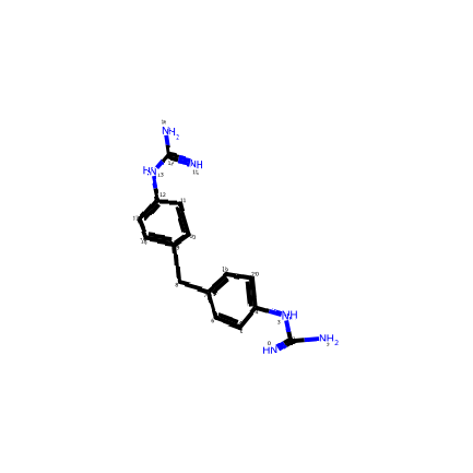 N=C(N)Nc1ccc(Cc2ccc(NC(=N)N)cc2)cc1